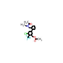 CCN(Cc1ccccc1-c1cc(Cl)c(C(F)(F)F)c(COC(C)=O)c1)C(C)=O